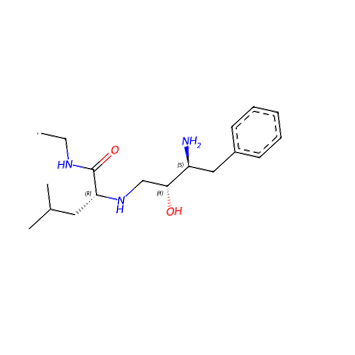 [CH2]CNC(=O)[C@@H](CC(C)C)NC[C@@H](O)[C@@H](N)Cc1ccccc1